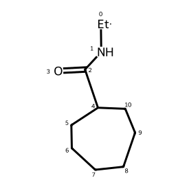 C[CH]NC(=O)C1CCCCCC1